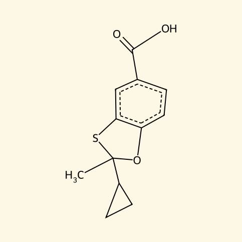 CC1(C2CC2)Oc2ccc(C(=O)O)cc2S1